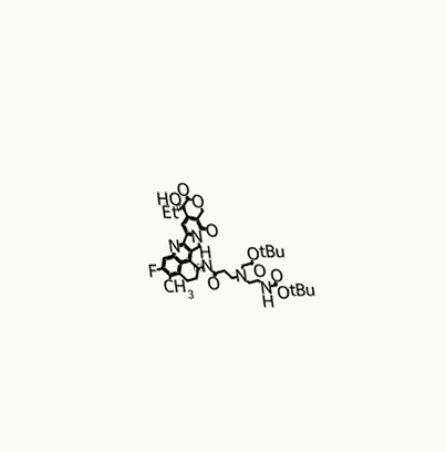 CC[C@@]1(O)C(=O)OCc2c1cc1n(c2=O)Cc2c-1nc1cc(F)c(C)c3c1c2[C@@H](NC(=O)CCN(CCNC(=O)OC(C)(C)C)CC(=O)OC(C)(C)C)CC3